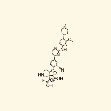 COc1nc(Nc2nccc(-c3ccc(OC4CCNCC4(C(=O)[C@@H](O)F)C(=O)[C@@H](O)F)c(C#N)c3)n2)ccc1C1CCN(C)CC1